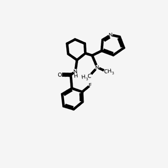 CN(C)C(c1cccnc1)C1CCCCC1NC(=O)c1ccccc1F